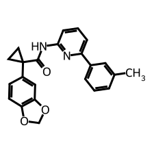 Cc1cccc(-c2cccc(NC(=O)C3(c4ccc5c(c4)OCO5)CC3)n2)c1